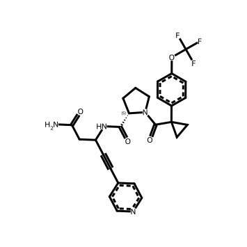 NC(=O)CC(C#Cc1ccncc1)NC(=O)[C@@H]1CCCN1C(=O)C1(c2ccc(OC(F)(F)F)cc2)CC1